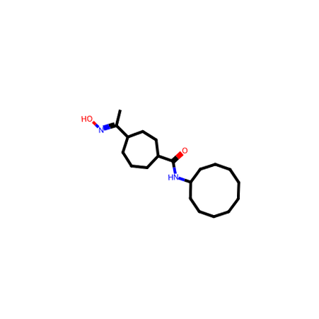 CC(=NO)C1CCCC(C(=O)NC2CCCCCCCCC2)CC1